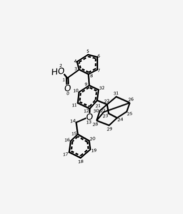 O=C(O)c1ccccc1-c1ccc(OCc2ccccc2)c(C23CC4CC(CC(C4)C2)C3)c1